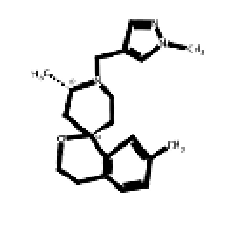 Cc1ccc2c(c1)[C@]1(CCN(Cc3cnn(C)c3)[C@@H](C)C1)OCC2